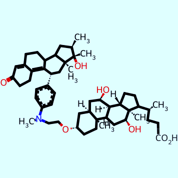 C[C@H](CCC(=O)O)C1CC[C@H]2[C@@H]3[C@H](O)C[C@@H]4C[C@@H](OCCN(C)c5ccc([C@H]6C[C@@]7(C)C(C[C@@H](C)[C@]7(C)O)C7CCC8=CC(=O)CCC8=C76)cc5)CC[C@]4(C)[C@H]3C[C@H](O)[C@]12C